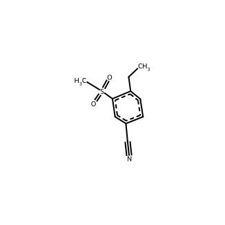 CCc1ccc(C#N)cc1S(C)(=O)=O